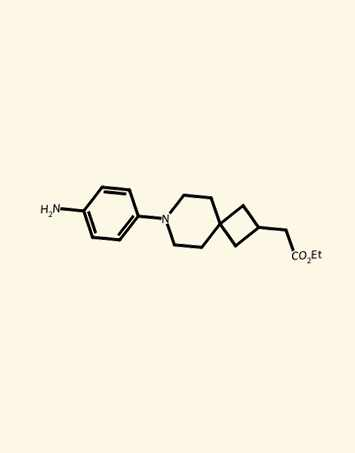 CCOC(=O)CC1CC2(CCN(c3ccc(N)cc3)CC2)C1